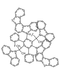 CC(C)(c1c(-c2ccccc2F)c(-n2c3ccccc3c3c4c(ccc32)sc2ccccc24)c(C(C)(C)n2c3ccccc3c3ccccc32)c(-n2c3ccccc3c3c4c(ccc32)sc2ccccc24)c1-c1ccccc1F)n1c2ccccc2c2ccccc21